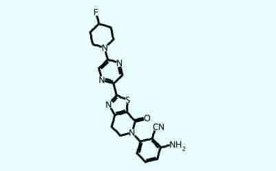 N#Cc1c(N)cccc1N1CCc2nc(-c3cnc(N4CCC(F)CC4)cn3)sc2C1=O